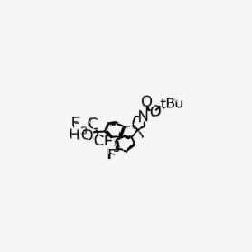 CC(C)(C)OC(=O)N1C[C@@H](c2ccc(C(O)(C(F)(F)F)C(F)(F)F)cc2)[C@@](C)(c2ccc(F)cc2)C1